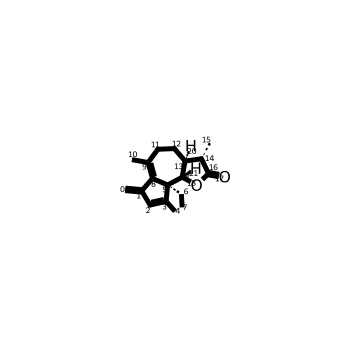 C=C1C=C(C)[C@@]2(CC)C1=C(C)CC[C@H]1[C@H](C)C(=O)O[C@@H]12